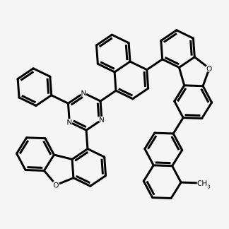 CC1CC=Cc2ccc(-c3ccc4oc5cccc(-c6ccc(-c7nc(-c8ccccc8)nc(-c8cccc9oc%10ccccc%10c89)n7)c7ccccc67)c5c4c3)cc21